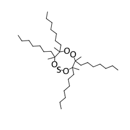 CCCCCCCC1(C)OOC(C)(CCCCCCC)C(C)(CCCCCCC)OSOC1(C)CCCCCCC